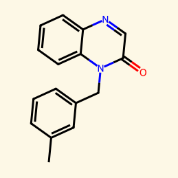 Cc1cccc(Cn2c(=O)cnc3ccccc32)c1